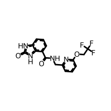 O=C(NCc1cccc(OCC(F)(F)F)n1)c1cccc2[nH]c(=O)[nH]c12